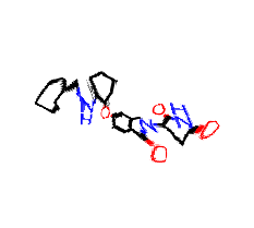 O=C1CCC(N2Cc3cc(O[C@@H]4CCCC[C@@H]4NCC4CCCCC4)ccc3C2=O)C(=O)N1